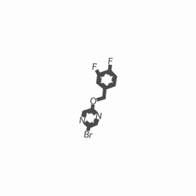 Fc1ccc(COc2cnc(Br)cn2)cc1F